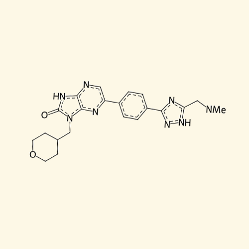 CNCc1nc(-c2ccc(-c3cnc4[nH]c(=O)n(CC5CCOCC5)c4n3)cc2)n[nH]1